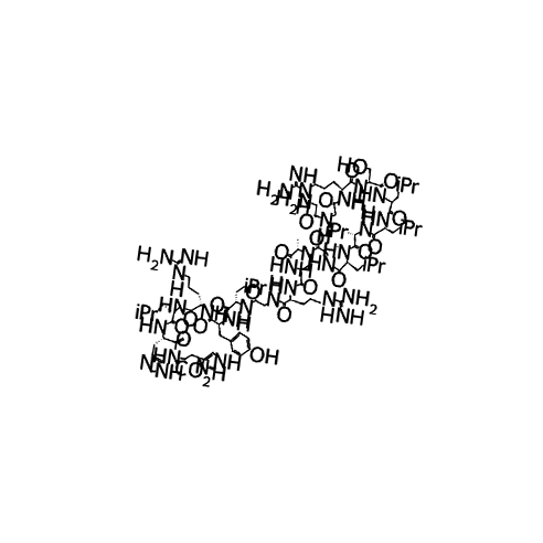 CC(C)C[C@H](NC(=O)CNC(=O)[C@H](CCCNC(=N)N)NC(=O)[C@H](C)NC(=O)[C@H](C)NC(=O)[C@H](C)NC(=O)[C@H](CC(C)C)NC(=O)[C@@H](NC(=O)[C@H](CC(C)C)NC(=O)[C@H](CC(C)C)NC(=O)[C@H](CO)NC(=O)[C@H](CCCNC(=N)N)NC(=O)CNC(=O)CN)C(C)C)C(=O)N[C@@H](Cc1ccc(O)cc1)C(=O)N[C@@H](CCCNC(=N)N)C(=O)N[C@@H](CC(C)C)C(=O)N[C@@H](Cc1c[nH]cn1)C(=O)N[C@@H](Cc1c[nH]cn1)C(=O)O